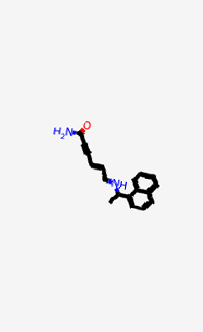 CC(NCC=CC#CC(N)=O)c1cccc2ccccc12